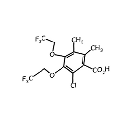 Cc1c(C)c(C(=O)O)c(Cl)c(OCC(F)(F)F)c1OCC(F)(F)F